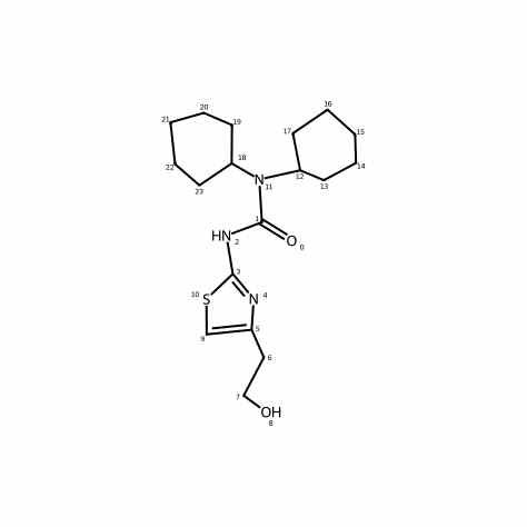 O=C(Nc1nc(CCO)cs1)N(C1CCCCC1)C1CCCCC1